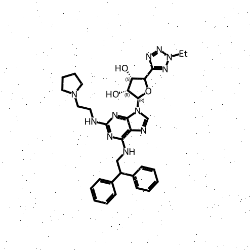 CCn1nnc(C2O[C@@H](n3cnc4c(NCC(c5ccccc5)c5ccccc5)nc(NCCN5CCCC5)nc43)[C@H](O)[C@@H]2O)n1